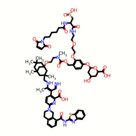 C/C(NCC1(C)CC2(C)CC(C)(C)CC(OCCN(C)C(=O)OCc3ccc(OC4CC(O)CC(C(=O)O)O4)cc3OCCOCCNC(=O)C(CS(=O)O)NC(=O)CCCCCN3C(=O)C=CC3=O)(C1)C2)=C(/C=N)c1ccc(N2CCc3cccc(C(=O)Nc4nc5ccccc5s4)c3C2)nc1C(=O)O